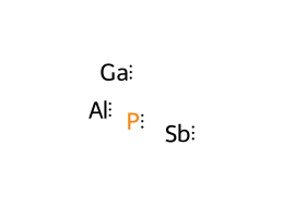 [Al].[Ga].[P].[Sb]